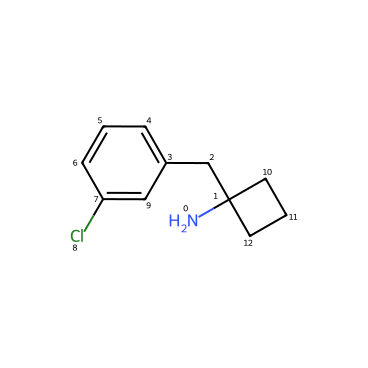 NC1(Cc2cccc(Cl)c2)CCC1